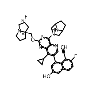 C#Cc1c(F)ccc2cc(O)cc(-c3cnc4c(N5CC6CCC(C5)N6)nc(OC[C@@]56CCCN5C[C@H](F)C6)nc4c3C3CC3)c12